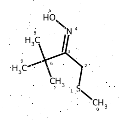 CSC/C(=N/O)C(C)(C)C